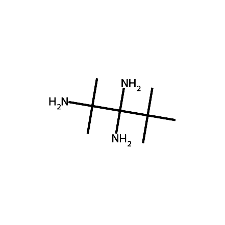 CC(C)(C)C(N)(N)C(C)(C)N